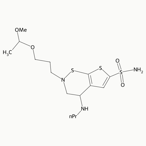 CCCNC1CN(CCCOC(C)OC)Sc2sc(S(N)(=O)=O)cc21